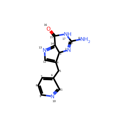 NC1=NC2C(Cc3cccnc3)=CN=C2C(=O)N1